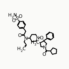 C=CCN(C(=O)Cc1ccc(S(N)(=O)=O)cc1)C1CCN(O[C@]2(c3ccccc3)CN(C(=O)C3CCCC3)C[C@@H]2C)CC1